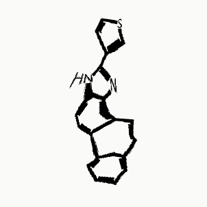 c1ccc2c(c1)ccc1c2ccc2[nH]c(-c3ccsc3)nc21